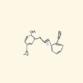 COc1ccc(O)c(C/C=C/c2ccccc2C#N)c1